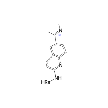 C/N=C(\C)c1ccc2nc([NH][RaH])ccc2c1